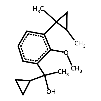 COc1c(C(C)(O)C2CC2)cccc1C1(C)CC1C